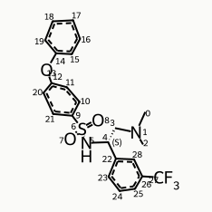 CN(C)C[C@@H](NS(=O)(=O)c1ccc(Oc2ccccc2)cc1)c1cccc(C(F)(F)F)c1